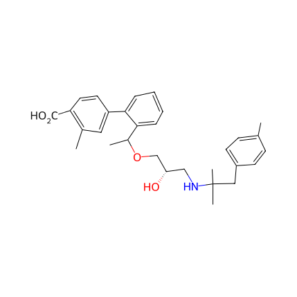 Cc1ccc(CC(C)(C)NC[C@H](O)COC(C)c2ccccc2-c2ccc(C(=O)O)c(C)c2)cc1